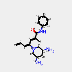 C=C/C=C(\C=C(/C)C(=O)Nc1ccccc1)N1C[C@H](N)C[C@H](N)C1